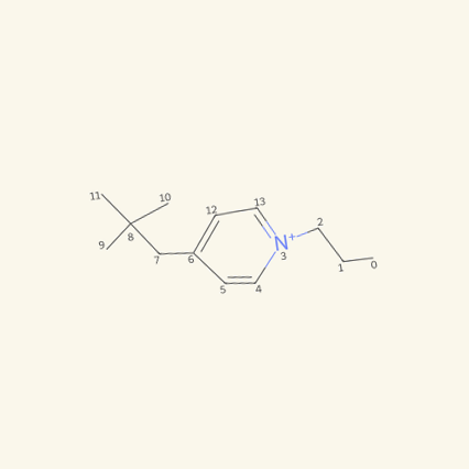 CCC[n+]1ccc(CC(C)(C)C)cc1